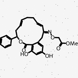 COC(=O)CON=C1/C=C/CC/C=C/CC(c2ccccc2)OC(=O)c2c(O)cc(O)cc2C1